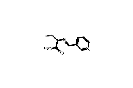 CCC(N=Cc1cccnc1)C(=O)O